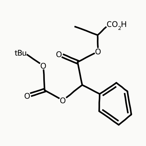 CC(OC(=O)C(OC(=O)OC(C)(C)C)c1ccccc1)C(=O)O